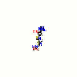 COC(=O)NCc1nc(C)c(-c2csc(-c3ccc(-c4nnn[nH]4)c(O)c3)n2)s1